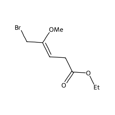 CCOC(=O)C/C=C(/CBr)OC